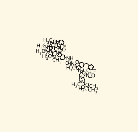 CO[C@H](C)[C@H](NC(=O)[C@H](C)N(C)C(=O)OC(C)(C)C)C(=O)N1Cc2ccc(NC(=O)CNC(=O)[C@]3(C)CN(C(=O)CN4C[C@@H](C)N(C(=O)OC(C)(C)C)C[C@@H]4CN4CCOC[C@H]4C)c4cc(Cc5ccc(F)cc5)ccc43)cc2[C@H]1C(=O)Nc1c(F)cccc1F